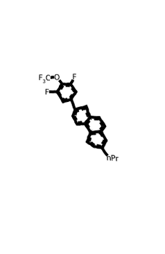 CCCc1ccc2c(ccc3cc(-c4cc(F)c(OC(F)(F)F)c(F)c4)ccc32)c1